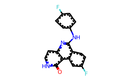 O=c1[nH]ccc2nc(Nc3ccc(F)cc3)c3ccc(F)cc3c12